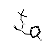 CC(C)(C)ONN(C=O)Cc1cccc(Cl)c1